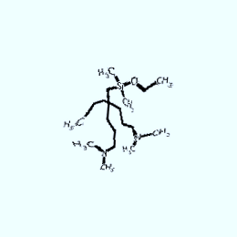 CCO[Si](C)(C)CC(CC)(CCCN(C)C)CCCN(C)C